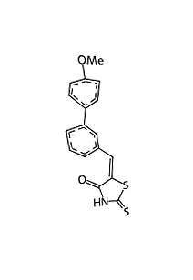 COc1ccc(-c2cccc(C=C3SC(=S)NC3=O)c2)cc1